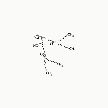 CCCCCCCCC(CCCCCCCC)COC(=O)CCCCCN(CCO)CCN(CCCCCC(=O)OCC(CCCCCCCC)CCCCCCCC)Cc1ccncc1